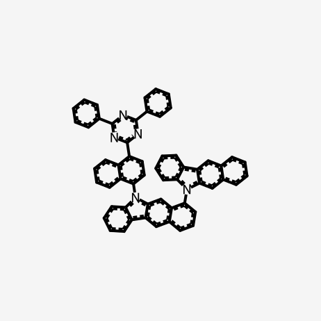 c1ccc(-c2nc(-c3ccccc3)nc(-c3ccc(-n4c5ccccc5c5cc6cccc(-n7c8ccccc8c8cc9ccccc9cc87)c6cc54)c4ccccc34)n2)cc1